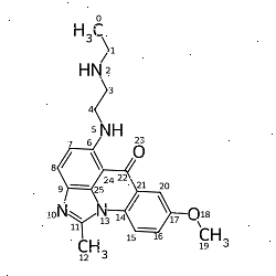 CCNCCNc1ccc2nc(C)n3c4ccc(OC)cc4c(=O)c1c23